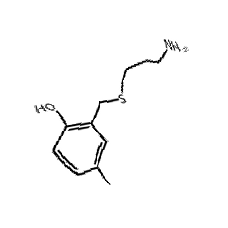 Cc1ccc(O)c(CSCCN)c1